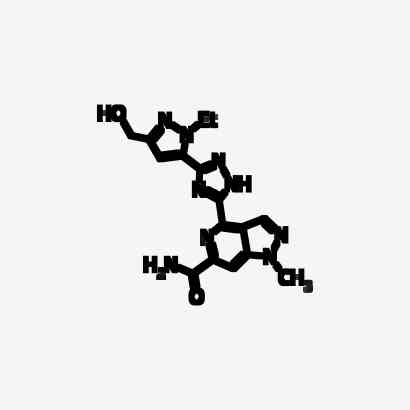 CCn1nc(CO)cc1-c1n[nH]c(-c2nc(C(N)=O)cc3c2cnn3C)n1